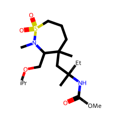 CCC(C)(CC1(C)CCCS(=O)(=O)N(C)C1COC(C)C)NC(=O)OC